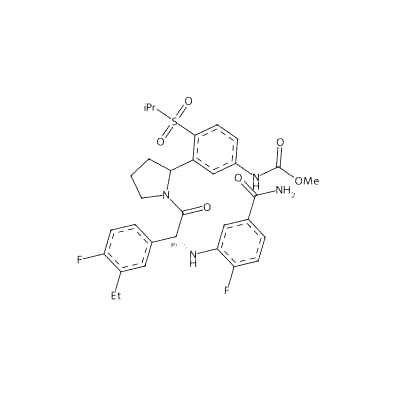 CCc1cc([C@@H](Nc2cc(C(N)=O)ccc2F)C(=O)N2CCCC2c2cc(NC(=O)OC)ccc2S(=O)(=O)C(C)C)ccc1F